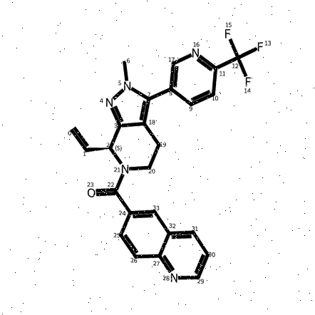 C=C[C@H]1c2nn(C)c(-c3ccc(C(F)(F)F)nc3)c2CCN1C(=O)c1ccc2ncccc2c1